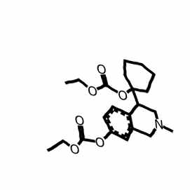 CCOC(=O)Oc1ccc2c(c1)CN(C)CC2C1(OC(=O)OCC)CCCCC1